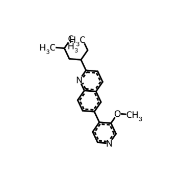 CCC(CC(C)C)c1ccc2cc(-c3ccncc3OC)ccc2n1